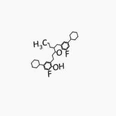 CCCC1Cc2cc(C3CCCCC3)cc(F)c2OC1CCc1cc(C2CCCCC2)cc(F)c1O